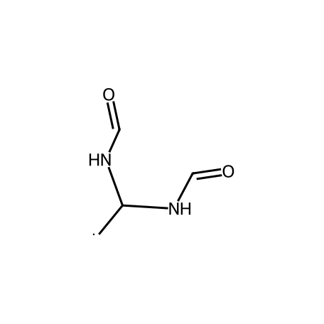 [CH2]C(NC=O)NC=O